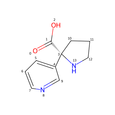 O=C(O)[C@]1(c2cccnc2)CCCN1